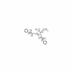 CCOC(CC)C(CC(=O)NOc1ccccc1)SSCCC(=O)NOc1ccccc1